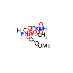 COc1ccc(-c2ccc(OP(N[C@@H](C)C(=O)OC(C)C)OCC3CC(C)C(n4ccc(=O)[nH]c4=O)O3)cc2)cc1